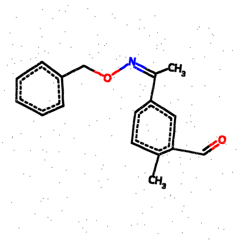 CC(=NOCc1ccccc1)c1ccc(C)c(C=O)c1